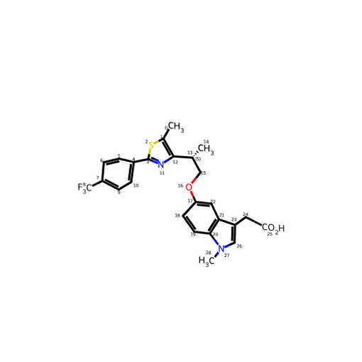 Cc1sc(-c2ccc(C(F)(F)F)cc2)nc1[C@H](C)COc1ccc2c(c1)c(CC(=O)O)cn2C